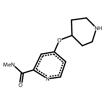 CNC(=O)c1cc(OC2CCNCC2)ccn1